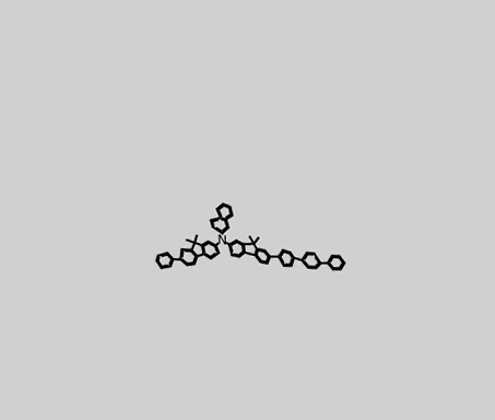 CC1(C)c2cc(-c3ccccc3)ccc2-c2ccc(N(c3ccc4c(c3)C(C)(C)c3cc(-c5ccc(-c6ccc(-c7ccccc7)cc6)cc5)ccc3-4)c3ccc4ccccc4c3)cc21